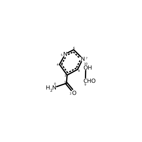 NC(=O)c1cncnc1.O=CO